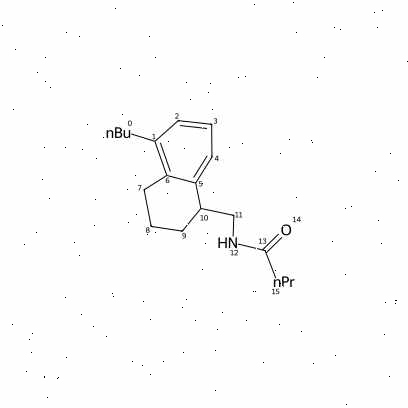 CCCCc1cccc2c1CCCC2CNC(=O)CCC